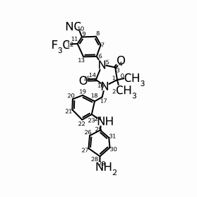 CC1(C)C(=O)N(c2ccc(C#N)c(C(F)(F)F)c2)C(=O)N1Cc1ccccc1Nc1ccc(N)cc1